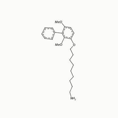 COc1ccc(OCCCCCCCCCN)c(OC)c1-c1ccccc1